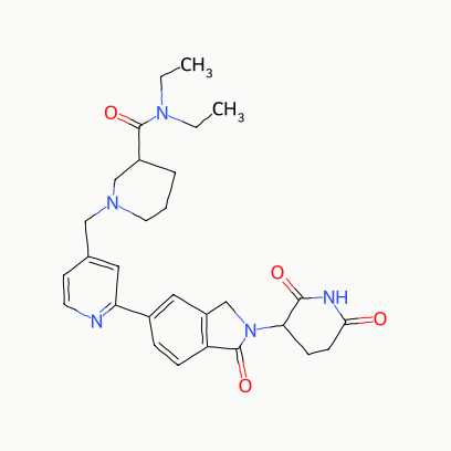 CCN(CC)C(=O)C1CCCN(Cc2ccnc(-c3ccc4c(c3)CN(C3CCC(=O)NC3=O)C4=O)c2)C1